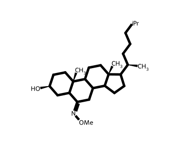 CO/N=C1\CC2C(CC[C@@]3(C)C2CCC3[C@H](C)CCCC(C)C)[C@@]2(C)CC[C@H](O)CC12